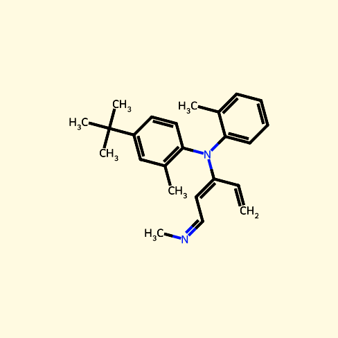 C=C/C(=C\C=N/C)N(c1ccccc1C)c1ccc(C(C)(C)C)cc1C